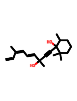 C=CC(C)=CC=CC(C)(O)C#CC1(O)C(C)CCCC1(C)C